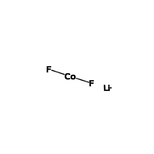 [F][Co][F].[Li]